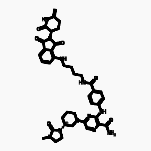 C=C1CCC(N2C(=O)c3cccc(NCCCCNC(=O)c4ccc(Nc5nc(N6CCC[C@@H](N7CCN(C)C7=O)C6)cnc5C(N)=O)cc4)c3C2=O)C(=O)N1